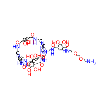 NCCOCCOCCNC(=O)c1ccc(C(=O)NCCN2CCNC(=O)c3ccc(c(O)c3O)C(=O)NCCN3CCNC(=O)c4ccc(c(O)c4O)C(=O)NCCN(CCNC(=O)c4ccc(c(O)c4O)C(=O)NCC3)CC2)c(O)c1O